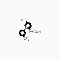 Cc1cc/c(=N\C(=O)O)n(-c2cccc(C(F)(F)F)c2)c1